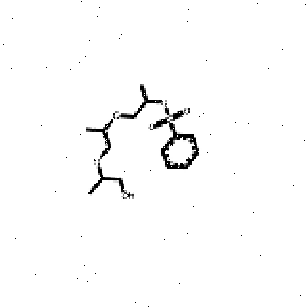 CC(CO)OCC(C)OCC(C)OS(=O)(=O)c1ccccc1